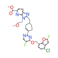 COCCn1c(CC2CC=C(c3ncc(F)c(OCc4ccc(Cl)c5cc(F)oc45)n3)CC2)nc2ccc(C(=O)OC)nc21